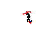 O=C(O)C/C(=C\c1ccc([C@@H]2CCCOC(=O)NC2)cc1)C(=O)O